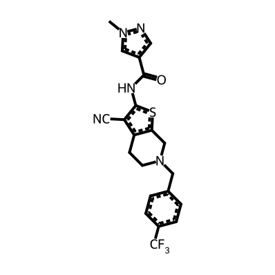 Cn1cc(C(=O)Nc2sc3c(c2C#N)CCN(Cc2ccc(C(F)(F)F)cc2)C3)cn1